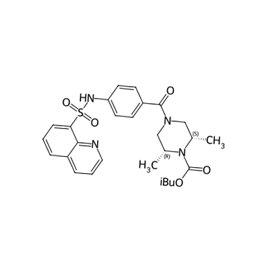 CC(C)COC(=O)N1[C@H](C)CN(C(=O)c2ccc(NS(=O)(=O)c3cccc4cccnc34)cc2)C[C@@H]1C